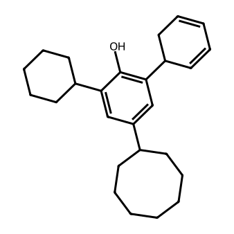 Oc1c(C2C=CC=CC2)cc(C2CCCCCCC2)cc1C1CCCCC1